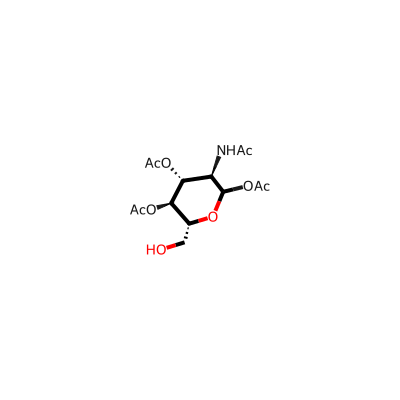 CC(=O)N[C@H]1C(OC(C)=O)O[C@H](CO)[C@@H](OC(C)=O)[C@@H]1OC(C)=O